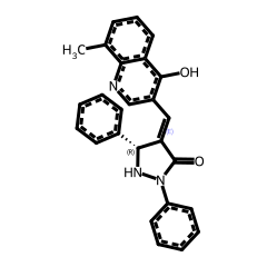 Cc1cccc2c(O)c(/C=C3/C(=O)N(c4ccccc4)N[C@@H]3c3ccccc3)cnc12